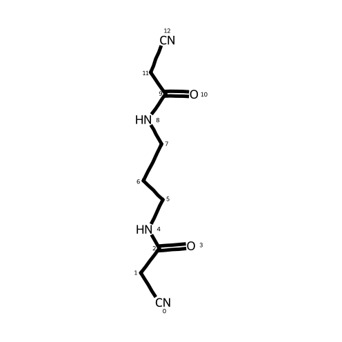 N#CCC(=O)NCCCNC(=O)CC#N